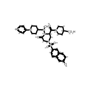 CN(C1CCN(c2ccncc2)CC1)N1C(=O)CN(S(=O)(=O)c2ccc3cc(Cl)ccc3c2)CC1C(=O)N1CCC(C(=O)O)CC1